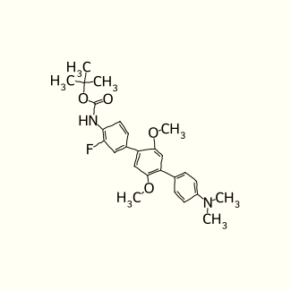 COc1cc(-c2ccc(NC(=O)OC(C)(C)C)c(F)c2)c(OC)cc1-c1ccc(N(C)C)cc1